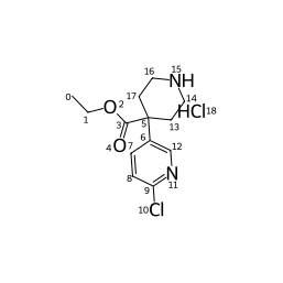 CCOC(=O)C1(c2ccc(Cl)nc2)CCNCC1.Cl